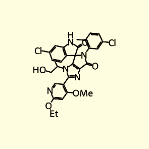 CCOc1cc(OC)c(-c2nc3c(n2C(C)CO)C2(C(=O)Nc4cc(Cl)ccc42)N(c2cc(Cl)ccc2C)C3=O)cn1